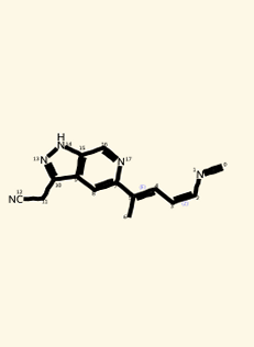 C=N/C=C\C=C(/C)c1cc2c(CC#N)n[nH]c2cn1